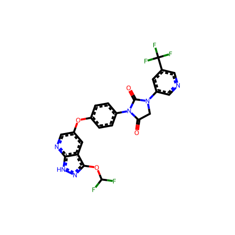 O=C1CN(c2cncc(C(F)(F)F)c2)C(=O)N1c1ccc(Oc2cnc3[nH]nc(OC(F)F)c3c2)cc1